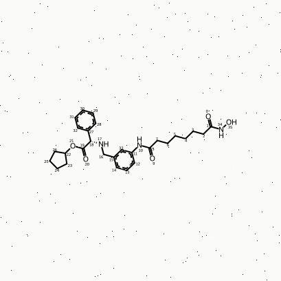 O=C(CCCCCCC(=O)Nc1cccc(CN[C@H](C(=O)OC2CCCC2)c2ccccc2)c1)NO